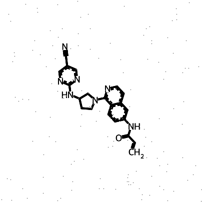 C=CC(=O)Nc1ccc2c(N3CCC(Nc4ncc(C#N)cn4)C3)nccc2c1